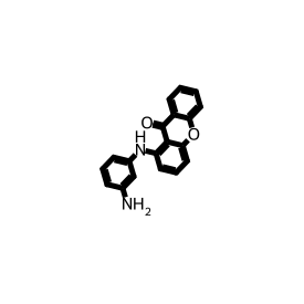 Nc1cccc(Nc2cccc3oc4ccccc4c(=O)c23)c1